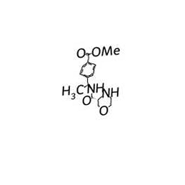 COC(=O)c1ccc([C@H](C)NC(=O)[C@H]2COCCN2)cc1